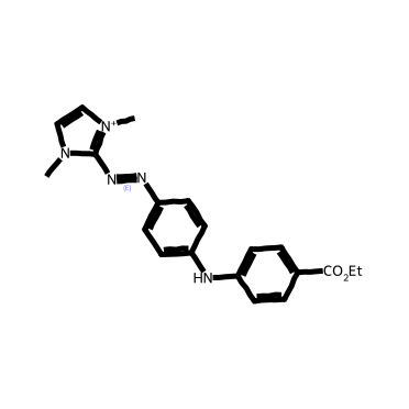 CCOC(=O)c1ccc(Nc2ccc(/N=N/c3n(C)cc[n+]3C)cc2)cc1